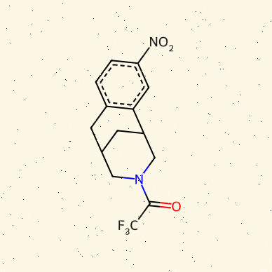 O=C(N1CC2Cc3ccc([N+](=O)[O-])cc3C(C2)C1)C(F)(F)F